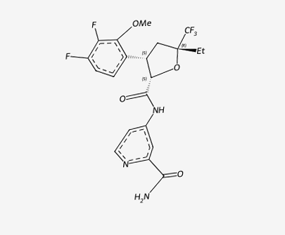 CC[C@]1(C(F)(F)F)C[C@@H](c2ccc(F)c(F)c2OC)[C@@H](C(=O)Nc2ccnc(C(N)=O)c2)O1